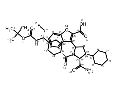 CC(C)(C)OC(=O)N[C@H](CF)[C@H]1CC[C@H](C(=O)N2C(c3c(C(=O)O)oc4ccccc34)C[C@@H](C3CCCCC3)[C@H]2C(N)=O)CC1